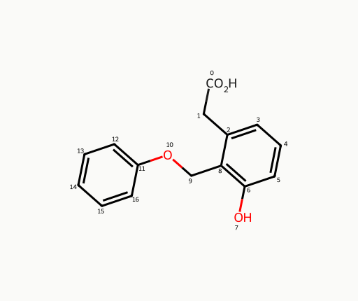 O=C(O)Cc1cccc(O)c1COc1ccccc1